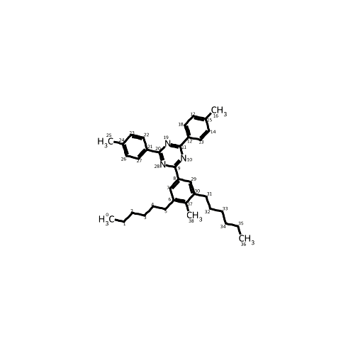 CCCCCCc1cc(-c2nc(-c3ccc(C)cc3)nc(-c3ccc(C)cc3)n2)cc(CCCCCC)c1C